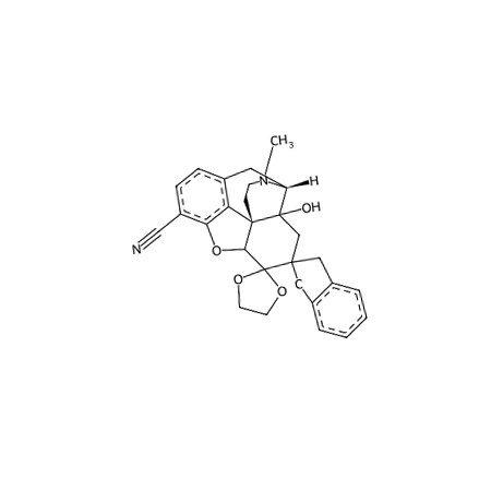 CN1CC[C@]23c4c5ccc(C#N)c4OC2C2(OCCO2)C2(Cc4ccccc4C2)CC3(O)[C@H]1C5